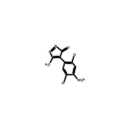 CC1=C(c2cc(Cl)c(S(=O)(=O)O)cc2Cl)C(=O)N=N1